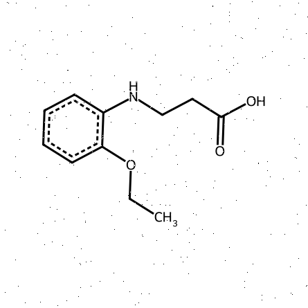 CCOc1ccccc1NCCC(=O)O